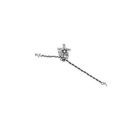 CC#CC#CC#CC#CC#CC#CC#CC#CC#CC#CC#CC#CC(=O)N[C@@H](CN[C@H]1[C@H](O)[C@@H](O)[C@H](O)[C@@H](O)[C@@H]1O)[C@H](O)[C@H](O)CCCCCCCCCCCCCC